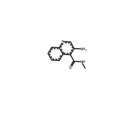 CNC(=O)c1c(N)cnc2ccccc12